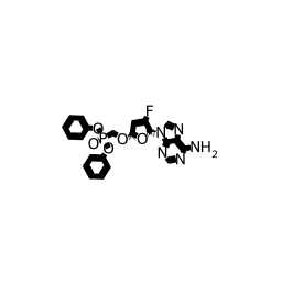 Nc1ncnc2c1ncn2[C@@H]1O[C@H](OCP(=O)(Oc2ccccc2)Oc2ccccc2)C=C1F